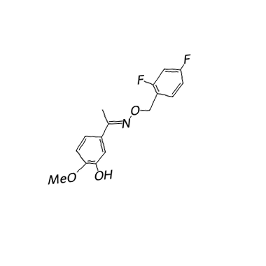 COc1ccc(/C(C)=N/OCc2ccc(F)cc2F)cc1O